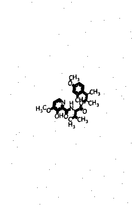 COc1ccc([C@H](C)[C@H](C)OC(=O)[C@@H](NC(=O)c2nccc(OC)c2O)C(C)C)c(C)c1